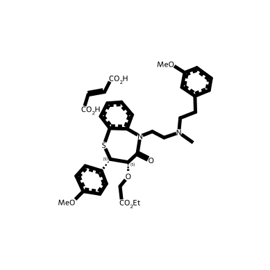 CCOC(=O)CO[C@H]1C(=O)N(CCN(C)CCc2cccc(OC)c2)c2ccccc2S[C@H]1c1ccc(OC)cc1.O=C(O)C=CC(=O)O